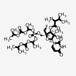 CC(C)OC(=O)OC(C)OP(=O)(OC[C@@]1(CF)O[C@@H](n2ccc(=O)[nH]c2=O)[C@](C)(O)[C@@H]1OC(=O)C(N)C(C)C)OC(C)OC(=O)OC(C)C